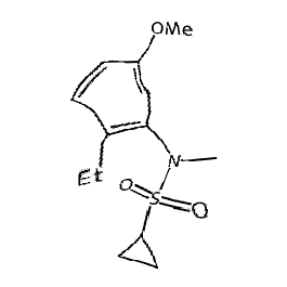 CCc1ccc(OC)cc1N(C)S(=O)(=O)C1CC1